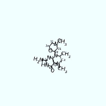 CCN(c1nc(N)[nH]c(=O)c1N(C)I)C1CN(C)CCO1